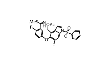 CSC(=N)c1cc(Oc2c(F)cc3c(ccn3S(=O)(=O)c3ccccc3)c2COC(C)=O)ccc1F